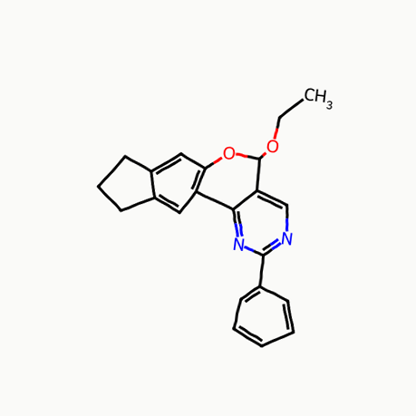 CCOC1Oc2cc3c(cc2-c2nc(-c4ccccc4)ncc21)CCC3